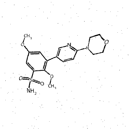 COc1cc(-c2ccc(N3CCOCC3)nc2)c(OC)c(S(N)(=O)=O)c1